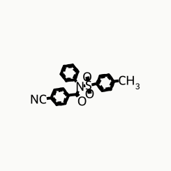 Cc1ccc(S(=O)(=O)N(C(=O)c2ccc(C#N)cc2)c2ccccc2)cc1